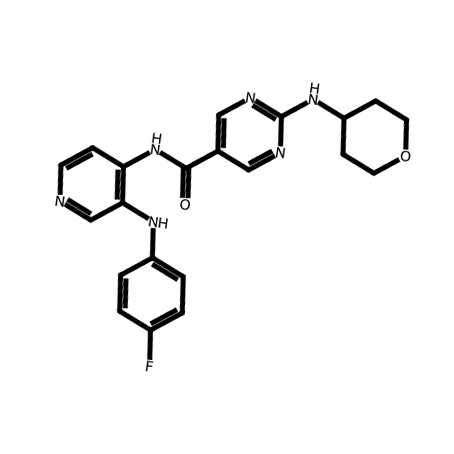 O=C(Nc1ccncc1Nc1ccc(F)cc1)c1cnc(NC2CCOCC2)nc1